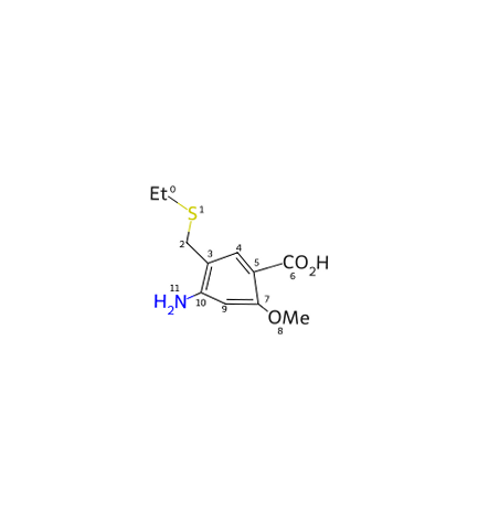 CCSCc1cc(C(=O)O)c(OC)cc1N